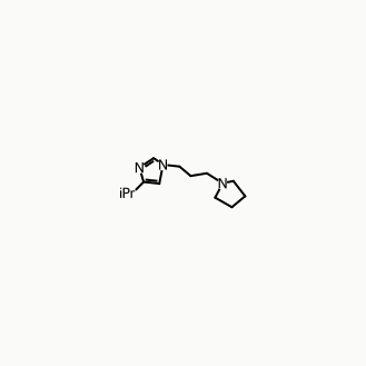 CC(C)c1cn(CCCN2CCCC2)cn1